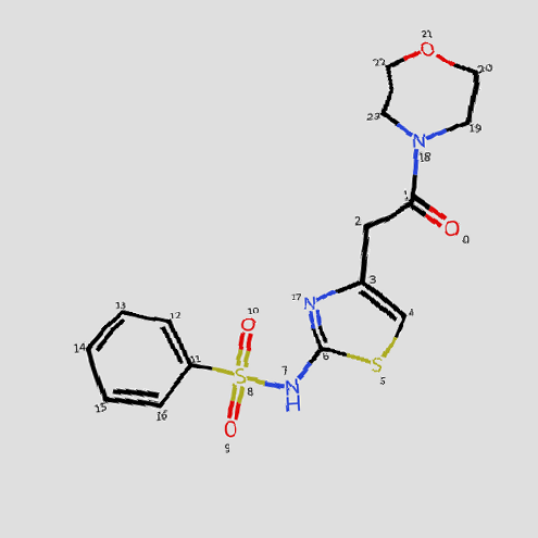 O=C(Cc1csc(NS(=O)(=O)c2ccccc2)n1)N1CCOCC1